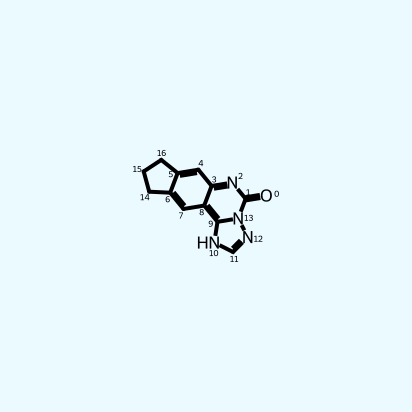 O=c1nc2cc3c(cc2c2[nH]cnn12)CCC3